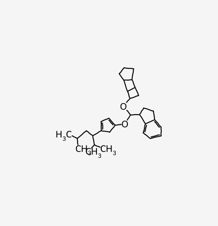 CC(C)CC(C1=CC=C(OC(OC2CC3C4CCCC4C23)C2CCc3ccccc32)C1)C(C)C